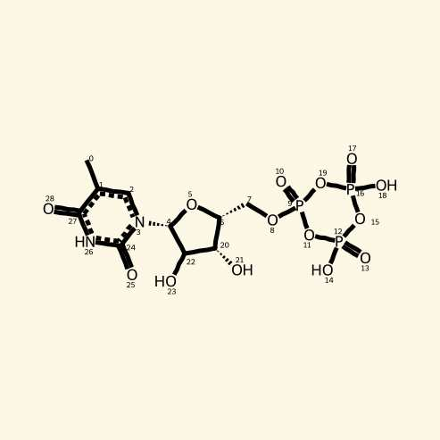 Cc1cn([C@@H]2O[C@H](COP3(=O)OP(=O)(O)OP(=O)(O)O3)[C@H](O)C2O)c(=O)[nH]c1=O